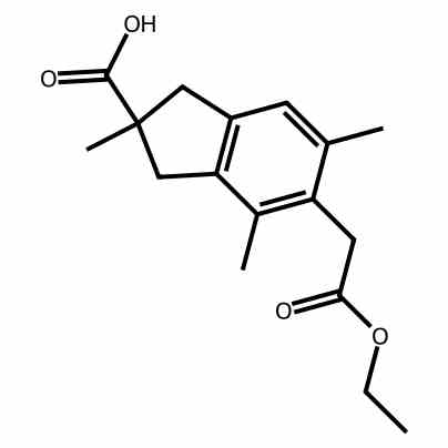 CCOC(=O)Cc1c(C)cc2c(c1C)CC(C)(C(=O)O)C2